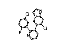 Fc1ccc(Cl)cc1-c1ncccc1-c1cn2ccnc2cc1Cl